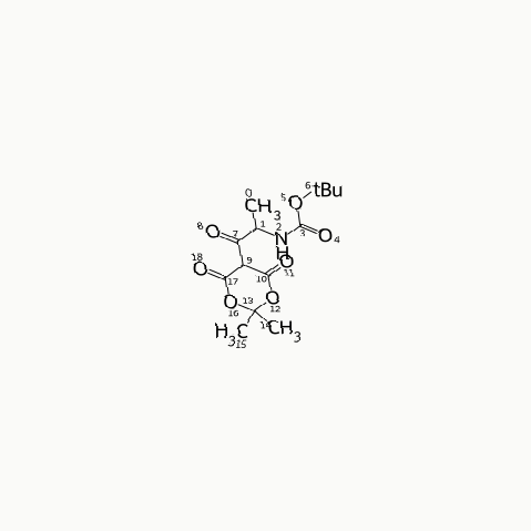 CC(NC(=O)OC(C)(C)C)C(=O)C1C(=O)OC(C)(C)OC1=O